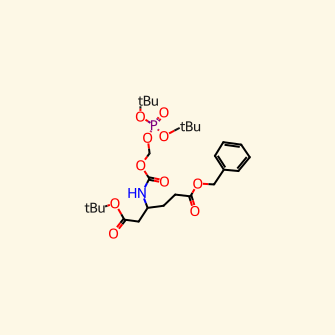 CC(C)(C)OC(=O)CC(CCC(=O)OCc1ccccc1)NC(=O)OCOP(=O)(OC(C)(C)C)OC(C)(C)C